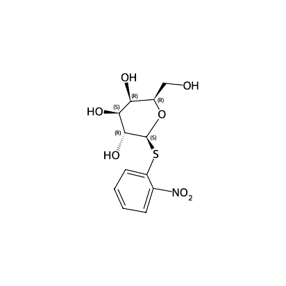 O=[N+]([O-])c1ccccc1S[C@@H]1O[C@H](CO)[C@H](O)[C@H](O)[C@H]1O